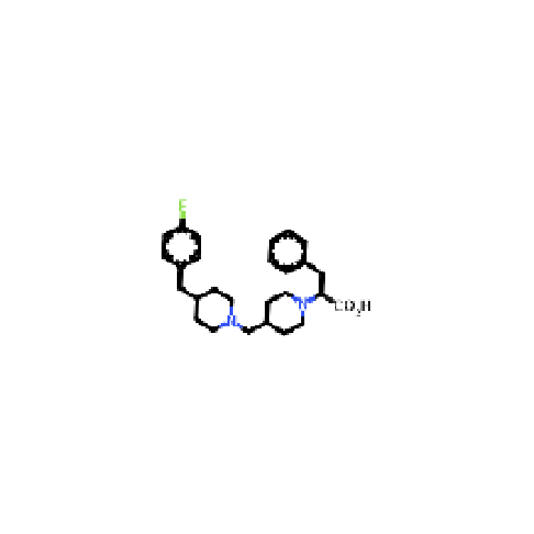 O=C(O)C(Cc1ccccc1)N1CCC(CN2CCC(Cc3ccc(F)cc3)CC2)CC1